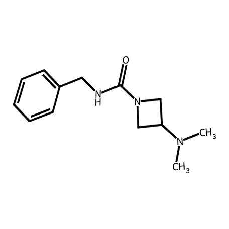 CN(C)C1CN(C(=O)NCc2ccccc2)C1